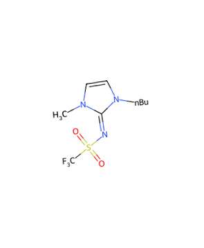 CCCCn1ccn(C)c1=NS(=O)(=O)C(F)(F)F